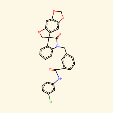 O=C(Nc1cccc(Cl)c1)c1cccc(CN2C(=O)C3(COc4cc5c(cc43)OCO5)c3ccccc32)c1